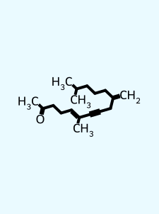 C=C(CC#CC(C)=CCCC(C)=O)CCCC(C)C